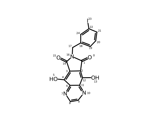 O=C1c2c(c(O)c3nccnc3c2O)C(=O)N1Cc1cccc(I)c1